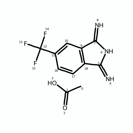 CC(=O)O.N=C1NC(=N)c2cc(C(F)(F)F)ccc21